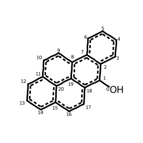 Oc1c2ccccc2c2ccc3cccc4ccc1c2c43